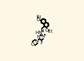 C=N/C(=N\C(=C(/C)F)N1CCOCC1)N/N=C/c1c(OCC)ccc2ccc(OCC)cc12